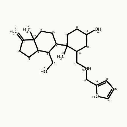 C=C1CCC2C(CO)C(C3(C)CCC(O)CC3CNCc3ccco3)CCC12C